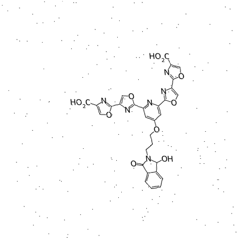 O=C(O)c1coc(-c2coc(-c3cc(OCCCN4C(=O)c5ccccc5C4O)cc(-c4nc(-c5nc(C(=O)O)co5)co4)n3)n2)n1